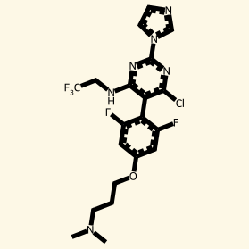 CN(C)CCCOc1cc(F)c(-c2c(Cl)nc(-n3ccnc3)nc2NCC(F)(F)F)c(F)c1